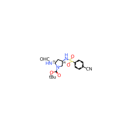 CC(C)(C)OC(=O)N1C[C@H](NS(=O)(=O)c2ccc(C#N)cc2)C[C@H]1NC=O